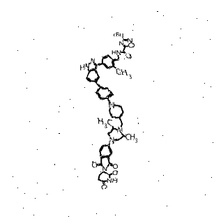 Cc1cc(-c2n[nH]c3ccc(-c4ccc(N5CCC(CN6C(C)CN(c7ccc8c(c7)C(=O)N(C7CCC(=O)NC7=O)C8=O)CC6C)CC5)cc4)cc23)ccc1CNC(=O)c1nc(C(C)(C)C)no1